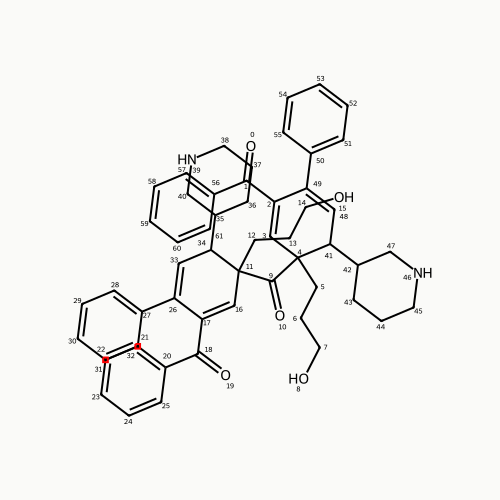 O=C(C1=CC(CCCO)(C(=O)C2(CCCO)C=C(C(=O)c3ccccc3)C(c3ccccc3)=CC2C2CCCNC2)C(C2CCCNC2)C=C1c1ccccc1)c1ccccc1